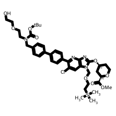 COC(=O)[C@H]1C[C@@H](Oc2nc3nc(-c4ccc(-c5ccc(CN(CCOCCO)C(=O)OC(C)(C)C)cc5)cc4)c(Cl)cc3n2COCC[Si](C)(C)C)CCO1